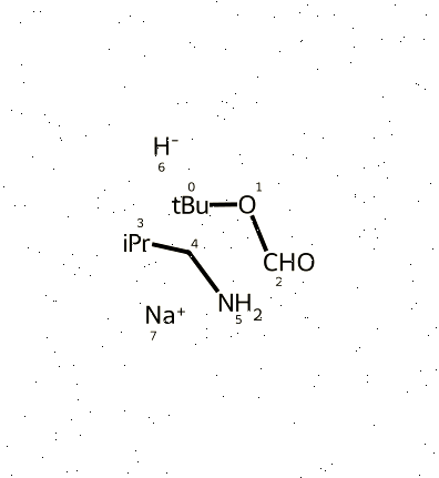 CC(C)(C)OC=O.CC(C)CN.[H-].[Na+]